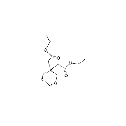 CCOC(=O)CC1(CC(=O)OCC)COCSC1